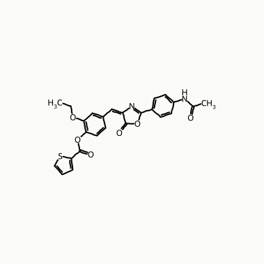 CCOc1cc(C=C2N=C(c3ccc(NC(C)=O)cc3)OC2=O)ccc1OC(=O)c1cccs1